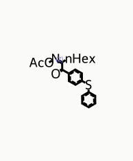 CCCCCC/C(=N/OC(C)=O)C(=O)c1ccc(Sc2ccccc2)cc1